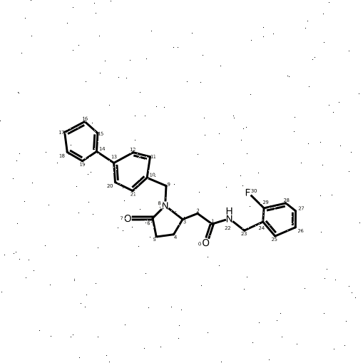 O=C(CC1CCC(=O)N1Cc1ccc(-c2ccccc2)cc1)NCc1ccccc1F